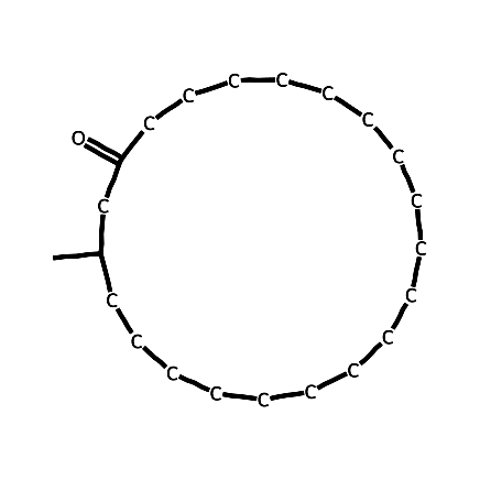 CC1CCCCCCCCCCCCCCCCCCC(=O)C1